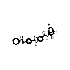 O=C(NC1CCCCCC1)c1ccc(-c2nc3cc(C(=O)NC4C5C[C@H]6C[C@@H](C5)C[C@@H]4C6)ccc3[nH]2)cc1